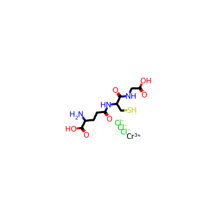 NC(CCC(=O)NC(CS)C(=O)NCC(=O)O)C(=O)O.[Cl-].[Cl-].[Cl-].[Cr+3]